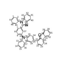 c1ccc(-n2c(-c3cccc(-n4c5ccccc5c5cc(-c6cccc7c6oc6ccccc67)ccc54)c3)nc3ccccc32)cc1